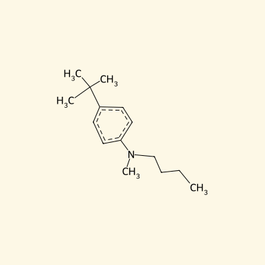 CCCCN(C)c1ccc(C(C)(C)C)cc1